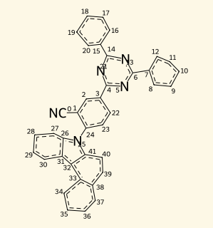 N#Cc1cc(-c2nc(-c3ccccc3)nc(-c3ccccc3)n2)ccc1-n1c2ccccc2c2c3ccccc3ccc21